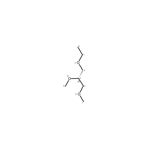 CCOC[C@H](COC)OC